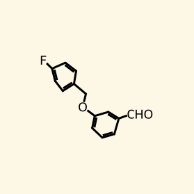 O=Cc1cccc(OCc2ccc(F)cc2)c1